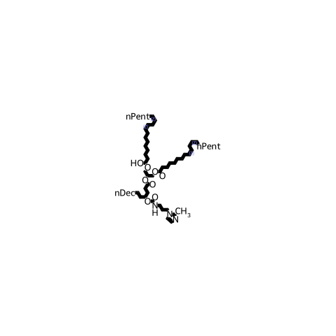 CCCCC/C=C\C/C=C\CCCCCCCC(=O)OCC(COC(O)CCCCCCC/C=C\C/C=C\CCCCC)OC(=O)CCC(CCCCCCCCCCCC)OC(=O)NCCCn1ccnc1C